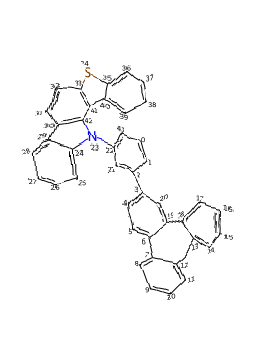 c1cc(-c2ccc3c4ccccc4c4ccccc4c3c2)cc(-n2c3ccccc3c3ccc4sc5ccccc5c4c32)c1